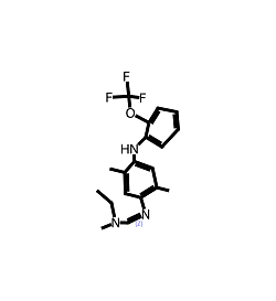 CCN(C)/C=N\c1cc(C)c(Nc2ccccc2OC(F)(F)F)cc1C